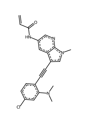 C=CC(=O)Nc1cnc2c(c1)c(C#Cc1ccc(Cl)cc1N(C)C)cn2C